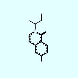 CCC(C)n1ccc2cc(Cl)ccc2c1=O